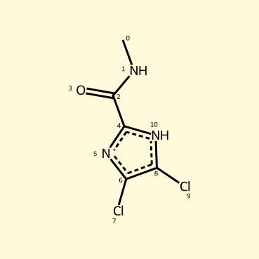 CNC(=O)c1nc(Cl)c(Cl)[nH]1